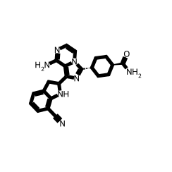 N#Cc1cccc2c1NC(c1nc([C@H]3CC[C@H](C(N)=O)CC3)n3ccnc(N)c13)C2